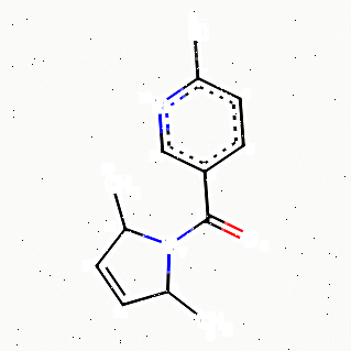 CCc1ccc(C(=O)N2C(C)C=CC2C)cn1